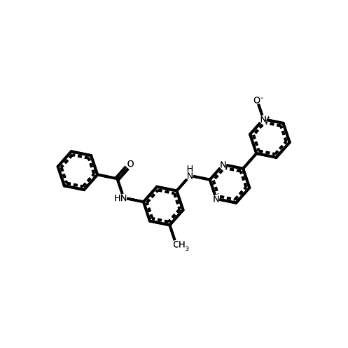 Cc1cc(NC(=O)c2ccccc2)cc(Nc2nccc(-c3ccc[n+]([O-])c3)n2)c1